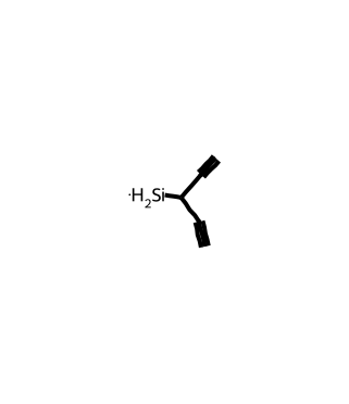 C#CC([SiH2])C#C